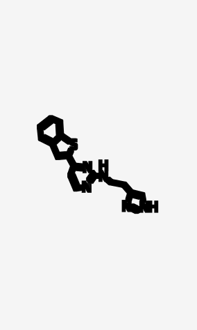 c1ccc2sc(-c3ccnc(NCCc4c[nH]cn4)n3)cc2c1